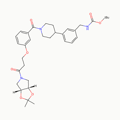 CC(C)(C)OC(=O)NCc1cccc(C2CCN(C(=O)c3cccc(OCCC(=O)N4C[C@@H]5OC(C)(C)O[C@@H]5C4)c3)CC2)c1